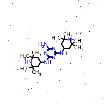 CC1(C)CC(Nc2nc(N)nc(NC3CC(C)(C)NC(C)(C)C3)n2)CC(C)(C)N1